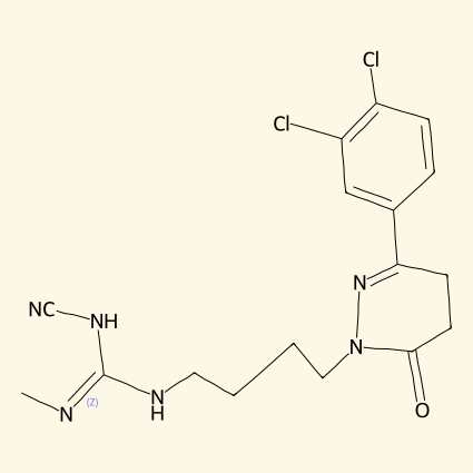 C/N=C(\NC#N)NCCCCN1N=C(c2ccc(Cl)c(Cl)c2)CCC1=O